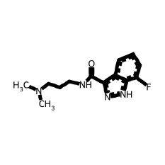 CN(C)CCCNC(=O)c1n[nH]c2c(F)cccc12